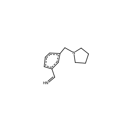 N=Cc1cccc(CN2CCCC2)c1